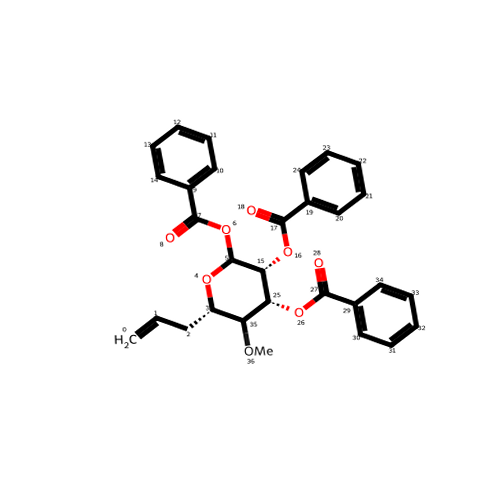 C=CC[C@@H]1OC(OC(=O)c2ccccc2)[C@H](OC(=O)c2ccccc2)[C@H](OC(=O)c2ccccc2)C1OC